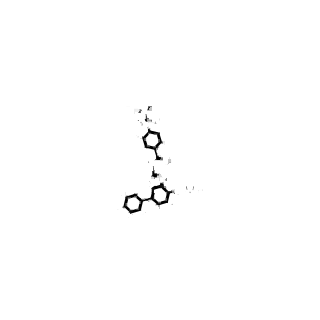 CCN(CC)S(=O)(=O)c1ccc(C(=O)Nc2nc3c(OC)ccc(-c4ccccc4)c3s2)cc1